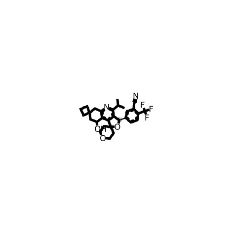 CC(C)c1nc2c(c3c1[C@@H](c1ccc(C(F)(F)F)c(C#N)c1)OC31CCOCC1)C(O)CC1(CCC1)C2